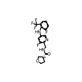 O=C(NCc1ncc(Nc2c(F)cccc2C(F)(F)F)cc1F)[C@@H]1CCOC1